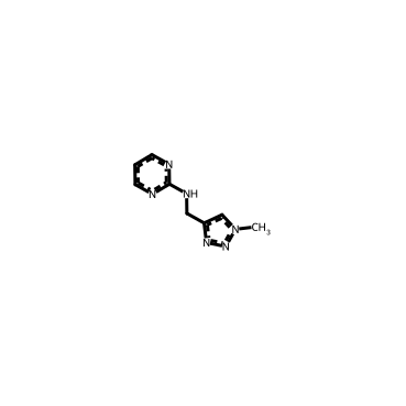 Cn1cc(CNc2ncccn2)nn1